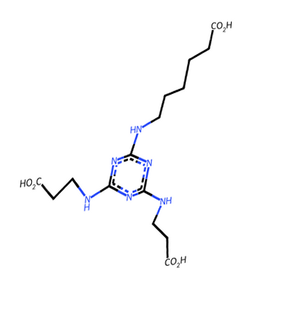 O=C(O)CCCCCNc1nc(NCCC(=O)O)nc(NCCC(=O)O)n1